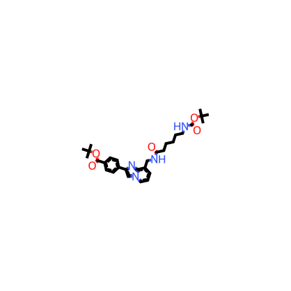 CC(C)(C)OC(=O)NCCCCCC(=O)NCc1cccn2cc(-c3ccc(C(=O)OC(C)(C)C)cc3)nc12